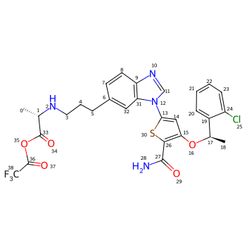 C[C@H](NCCCc1ccc2ncn(-c3cc(O[C@H](C)c4ccccc4Cl)c(C(N)=O)s3)c2c1)C(=O)OC(=O)C(F)(F)F